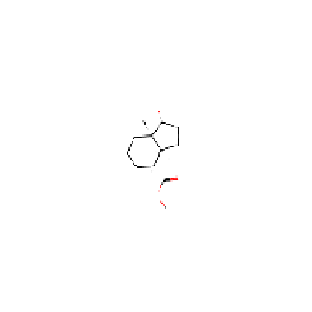 COC(=O)[C@@H]1CCC[C@]2(C)[C@@H](O)CC[C@@H]12